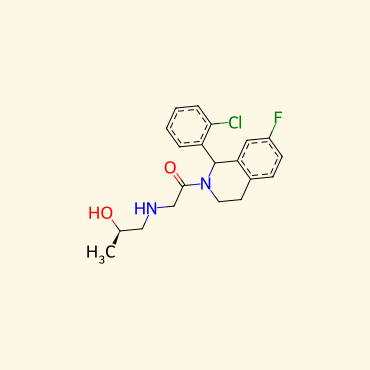 C[C@@H](O)CNCC(=O)N1CCc2ccc(F)cc2C1c1ccccc1Cl